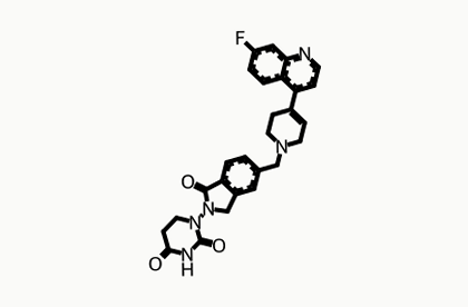 O=C1CCN(N2Cc3cc(CN4CC=C(c5ccnc6cc(F)ccc56)CC4)ccc3C2=O)C(=O)N1